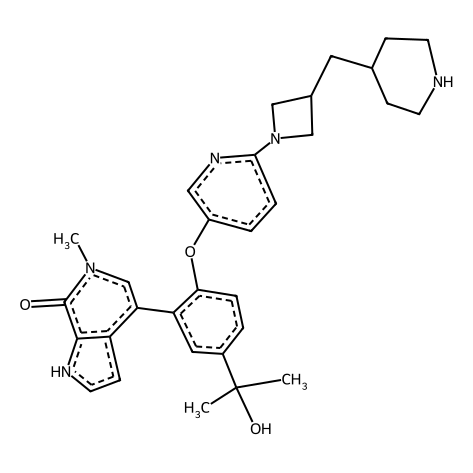 Cn1cc(-c2cc(C(C)(C)O)ccc2Oc2ccc(N3CC(CC4CCNCC4)C3)nc2)c2cc[nH]c2c1=O